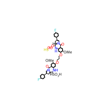 COc1cc2c(cc1OCCCOc1cc3c(cc1OC)C(=O)N1C=C(c4ccc(F)cc4)C[C@H]1C(S(=O)(=O)O)N3)NC(OOOS)[C@@H]1CC(c3ccc(F)cc3)=CN1C2=O